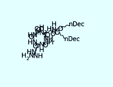 CCCCCCCCCCCCCCOCC(NC(=O)CCC[C@@H]1NC(=O)[C@H](CC(=O)O)NC(=O)CNC(=O)[C@H](CCCNC(=N)N)NC(=O)C(C(C)C)NC1=O)OCCCCCCCCCCCCCC